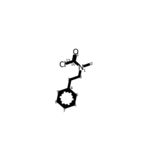 CN(CCc1ccccc1)C(=O)Cl